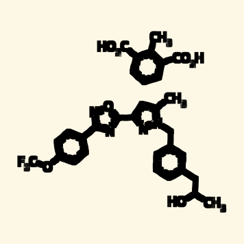 Cc1c(C(=O)O)cccc1C(=O)O.Cc1cc(-c2nc(-c3ccc(OC(F)(F)F)cc3)no2)nn1Cc1cccc(CC(C)O)c1